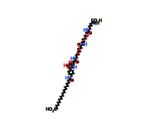 O=C(O)CCCCCCCCCCCCCCCCCCC(=O)NC[C@H]1CC[C@H](C(=O)N[C@@H](CCC(=O)NCCOCCOCC(=O)NCCOCCOCC(=O)NCCCC[C@H](NS)C(=O)O)C(O)O)CC1